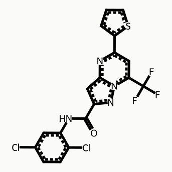 O=C(Nc1cc(Cl)ccc1Cl)c1cc2nc(-c3cccs3)cc(C(F)(F)F)n2n1